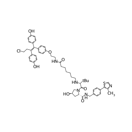 Cc1ncsc1-c1ccc(CNC(=O)[C@@H]2C[C@@H](O)CN2C(=O)C(NCCCCCCC(=O)NCCOc2ccc(C(=C(CCCl)c3ccc(O)cc3)c3ccc(O)cc3)cc2)C(C)(C)C)cc1